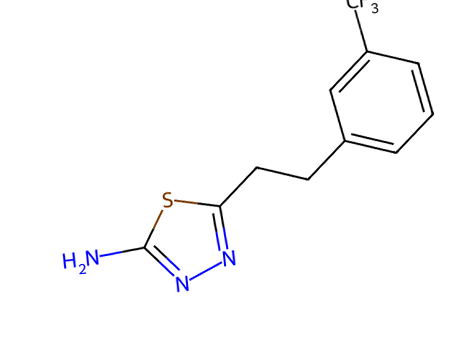 Nc1nnc(CCc2cccc(C(F)(F)F)c2)s1